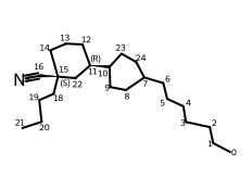 CCCCCCCC1CCC([C@@H]2CCC[C@@](C#N)(CCCC)C2)CC1